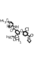 CN/C=C\C(=N)NC(=O)c1cc(Oc2ccc(C(=O)N3CCC3)cc2Cl)cc(O[C@@H](C)CO)c1